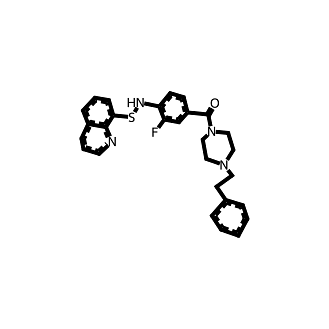 O=C(c1ccc(NSc2cccc3cccnc23)c(F)c1)N1CCN(CCc2ccccc2)CC1